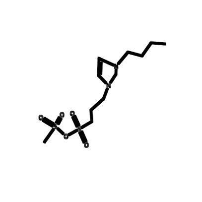 CCCCN1C=CN(CCCS(=O)(=O)OS(C)(=O)=O)C1